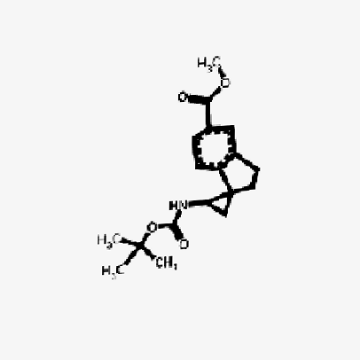 COC(=O)c1ccc2c(c1)CCC21CC1NC(=O)OC(C)(C)C